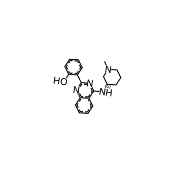 CN1CCC[C@H](Nc2nc(-c3ccccc3O)nc3ccccc23)C1